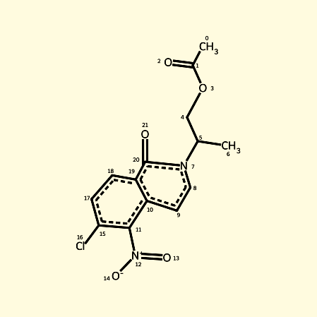 CC(=O)OCC(C)n1ccc2c([N+](=O)[O-])c(Cl)ccc2c1=O